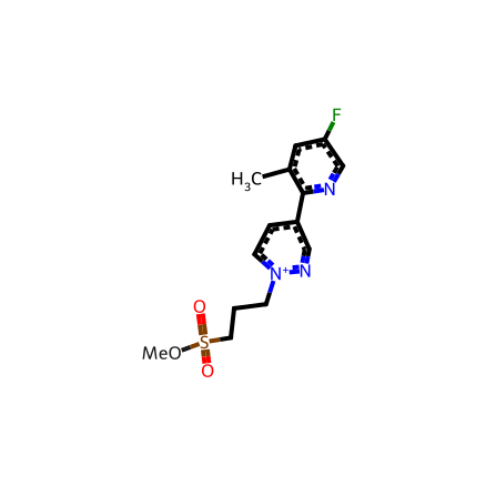 COS(=O)(=O)CCC[n+]1ccc(-c2ncc(F)cc2C)cn1